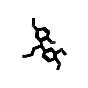 COc1ccc(O)c(C(CCO)c2ccc(OC)c(OC)c2)c1